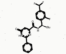 CC(C)(C)[C@@H](NC(=O)c1cc(=O)[nH]c(-c2ccccc2)n1)c1ccc(C(F)F)cc1F